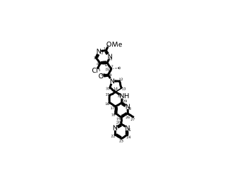 COc1ncc(Cl)c([C@H](C)C(=O)N2CC[C@@]3(CCc4cc(-c5ncccn5)c(C)nc4N3)C2)n1